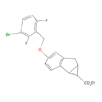 CCOC(=O)C1C2Cc3cc(OCc4c(F)ccc(Br)c4F)ccc3C21